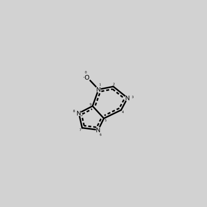 [O]n1cncc2ncnc1-2